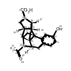 O=C(O)N1C[C@H]2C[C@@]34CC[C@@H]1[C@@H]2[C@@]31CCN(C(=O)C(F)(F)F)[C@@H]4Cc2ccc(O)cc21